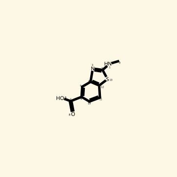 CNc1nc2cc(C(=O)O)ccc2s1